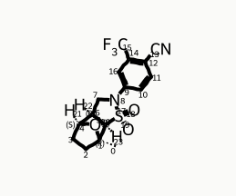 C[C@]12CC[C@H](O1)[C@H]1CN(c3ccc(C#N)c(C(F)(F)F)c3)S(=O)(=O)[C@H]12